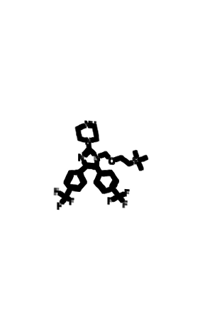 C[Si](C)(C)CCOCn1c(N2CCNCC2)nc(-c2ccc(C(F)(F)F)cc2)c1-c1ccc(C(F)(F)F)cc1